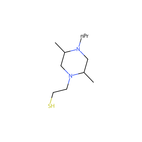 CCCN1CC(C)N(CCS)CC1C